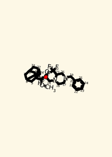 COC(=O)C12CC3CC(C1)C(NC(=O)CN1CCN(Cc4ccccc4)CC1C(F)(F)F)C(C3)C2